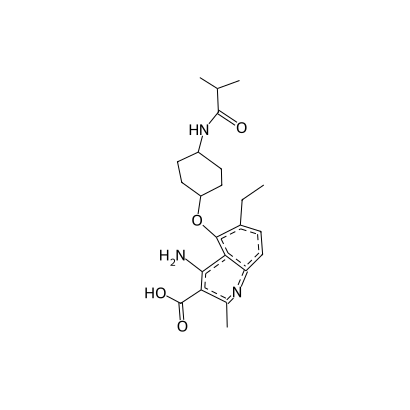 CCc1ccc2nc(C)c(C(=O)O)c(N)c2c1OC1CCC(NC(=O)C(C)C)CC1